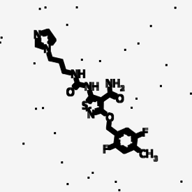 Cc1cc(F)c(COc2nsc(NC(=O)NCCCn3ccnc3)c2C(N)=O)cc1F